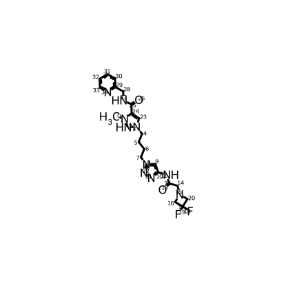 CN1NN(CCCCn2cc(NC(=O)CN3CC(F)(F)C3)nn2)C=C1C(=O)NCc1ccccn1